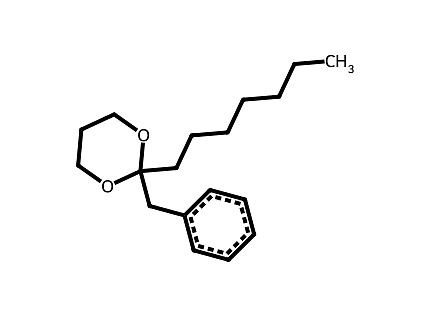 CCCCCCCC1(Cc2ccccc2)OCCCO1